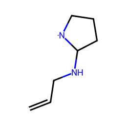 C=CCNC1CCC[N]1